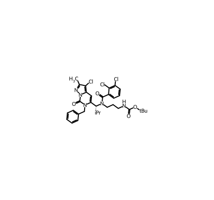 Cc1nn2c(=O)n(Cc3ccccc3)c([C@@H](C(C)C)N(CCCNC(=O)OC(C)(C)C)C(=O)c3cccc(Cl)c3Cl)cc2c1Cl